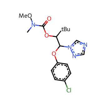 CON(C)C(=O)OC(C(Oc1ccc(Cl)cc1)n1cncn1)C(C)(C)C